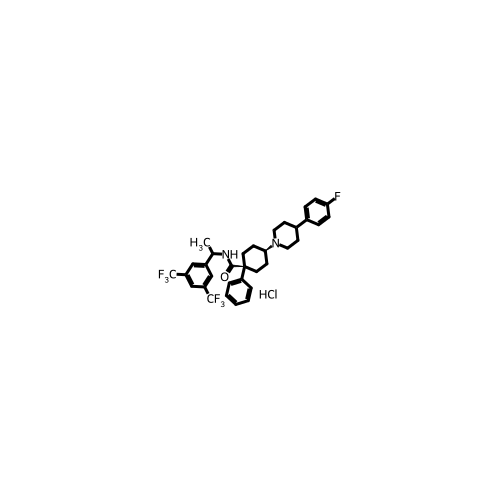 CC(NC(=O)[C@]1(c2ccccc2)CC[C@H](N2CCC(c3ccc(F)cc3)CC2)CC1)c1cc(C(F)(F)F)cc(C(F)(F)F)c1.Cl